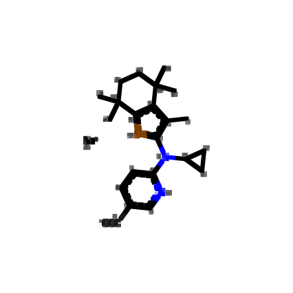 Cc1c(N(c2ccc(C(=O)[O-])cn2)C2CC2)sc2c1C(C)(C)CCC2(C)C.[Na+]